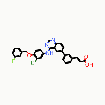 O=C(O)C=Cc1cccc(-c2ccc3ncnc(Nc4ccc(OCc5cccc(F)c5)c(Cl)c4)c3c2)c1